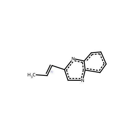 C/C=C/c1cnc2ccccc2n1